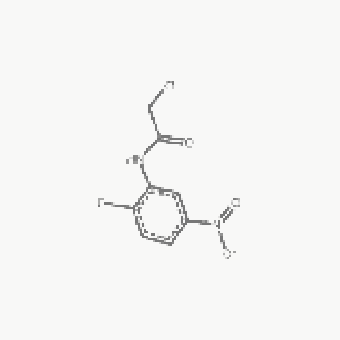 O=C(CCl)Nc1cc([N+](=O)[O-])ccc1F